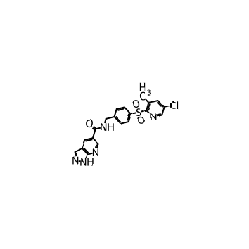 Cc1cc(Cl)cnc1S(=O)(=O)c1ccc(CNC(=O)c2cnc3[nH]ncc3c2)cc1